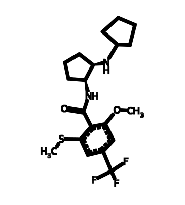 COc1cc(C(F)(F)F)cc(SC)c1C(=O)N[C@H]1CCC[C@H]1NC1CCCC1